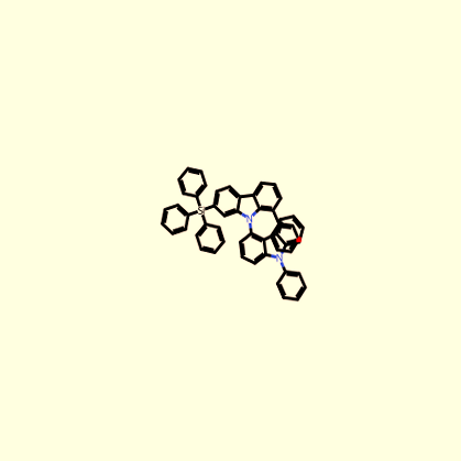 c1ccc(-c2cccc3c4ccc([Si](c5ccccc5)(c5ccccc5)c5ccccc5)cc4n(-c4cccc5c4c4ccccc4n5-c4ccccc4)c23)cc1